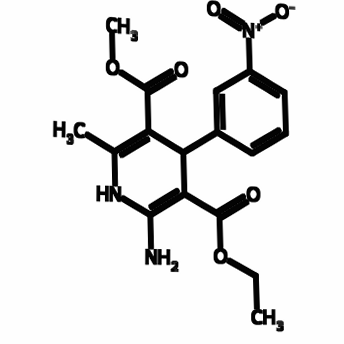 CCOC(=O)C1=C(N)NC(C)=C(C(=O)OC)C1c1cccc([N+](=O)[O-])c1